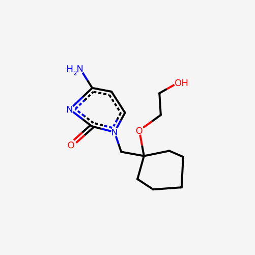 Nc1ccn(CC2(OCCO)CCCCC2)c(=O)n1